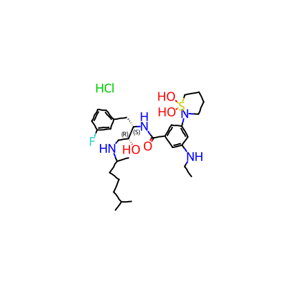 CCNc1cc(C(=O)N[C@@H](Cc2cccc(F)c2)[C@H](O)CNC(C)CCCC(C)C)cc(N2CCCCS2(O)O)c1.Cl